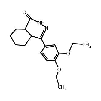 CCOc1ccc(C2=NNC(=O)C3CCCCC23)cc1OCC